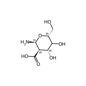 N[C@H]1O[C@H](CO)C(O)[C@H](O)[C@H]1C(=O)O